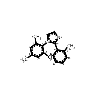 Cc1cc(C)c(-n2ccnc2-c2ccccc2C)c(C)c1